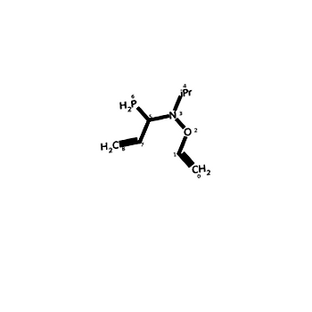 C=CON(C(C)C)C(P)C=C